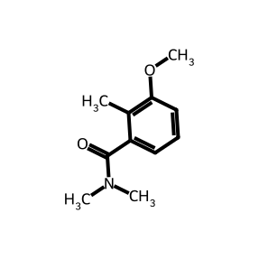 COc1cccc(C(=O)N(C)C)c1C